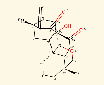 C=C1C(=O)[C@]23CC[C@H]1CC2[C@@]12CCC[C@@](C)(CO[C@H]1CO)C2CC3=O